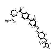 NC(=O)[C@@H]1CCCN(C(=O)c2ccc(-c3ccc(OCC4CCN(CC5(C(F)(F)F)CCC5)CC4)cc3F)cc2)C1